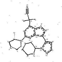 C[C@H]1COCCN1c1cc(C(C)(C)C#N)c2snc(-c3ccnn3C3CCCCO3)c2n1